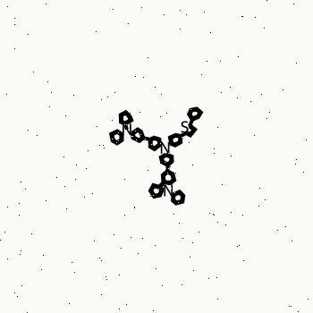 c1ccc(-c2ccc(-c3ccc(N(c4ccc(-c5ccc(N(c6ccccc6)c6ccccc6)cc5)cc4)c4ccc(-c5ccc6c(c5)c5ccccc5n6-c5ccccc5)cc4)cc3)s2)cc1